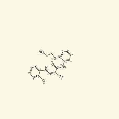 CC(=O)/C(=N/Nc1ccccc1Cl)C(=O)Nc1ccccc1OCCO